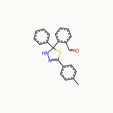 Cc1ccc(C2=NNC(c3ccccc3)(c3ccccc3C=O)S2)cc1